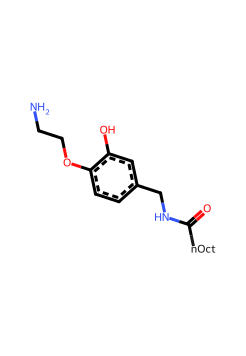 CCCCCCCCC(=O)NCc1ccc(OCCN)c(O)c1